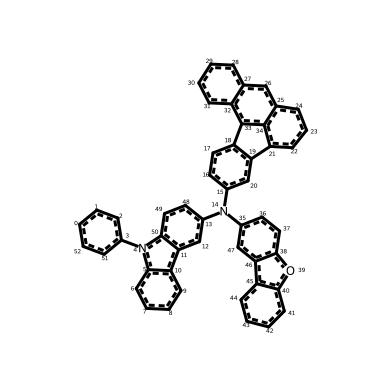 c1ccc(-n2c3ccccc3c3cc(N(c4ccc5c(c4)-c4cccc6cc7ccccc7c-5c46)c4ccc5oc6ccccc6c5c4)ccc32)cc1